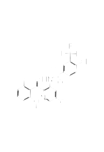 COc1cccc(C)c1C(=O)c1ncc(Cl)cc1NS(=O)(=O)c1ccc(Cl)c(C(F)(F)F)c1